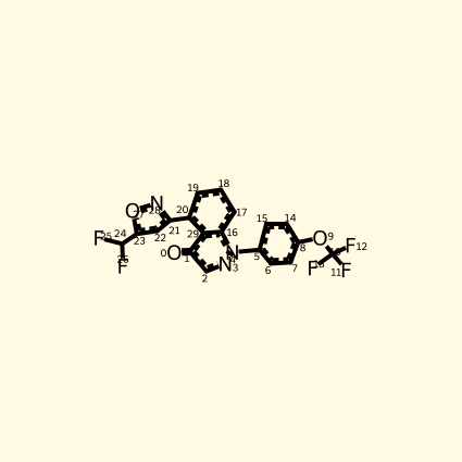 O=c1cnn(-c2ccc(OC(F)(F)F)cc2)c2cccc(-c3cc(C(F)F)on3)c12